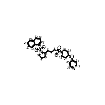 O=S(=O)(CCCC1CCCN1S(=O)(=O)c1cccc2ccccc12)N1CCC(Oc2ccncc2)CC1